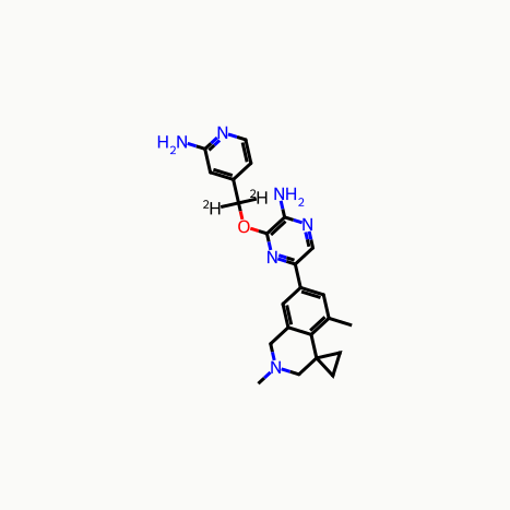 [2H]C([2H])(Oc1nc(-c2cc(C)c3c(c2)CN(C)CC32CC2)cnc1N)c1ccnc(N)c1